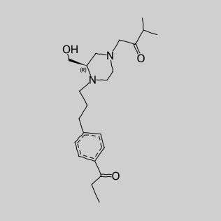 CCC(=O)c1ccc(CCCN2CCN(CC(=O)C(C)C)C[C@@H]2CO)cc1